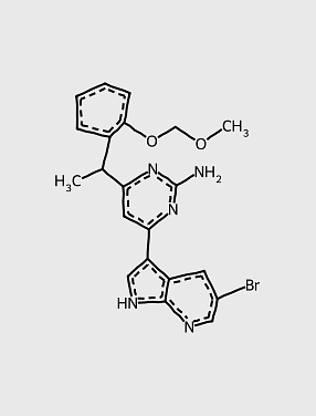 COCOc1ccccc1C(C)c1cc(-c2c[nH]c3ncc(Br)cc23)nc(N)n1